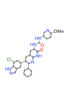 COc1ccc(NC(=O)Nc2cc3cc(-c4cc(Cl)c5[nH]ncc5c4)c(-c4ccccc4)nc3[nH]c2=O)cn1